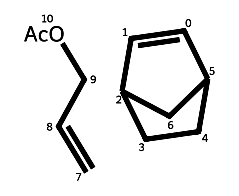 C1=CC2CCC1C2.C=CCOC(C)=O